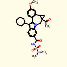 COc1ccc2c(c1)C1CC1(C(C)=O)Cn1c-2c(C2CCCCC2)c2ccc(C(=O)NS(=O)(=O)N(C)C)cc21